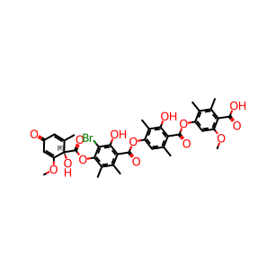 COC1=CC(=O)C=C(C)[C@]1(O)C(=O)Oc1c(C)c(C)c(C(=O)Oc2cc(C)c(C(=O)Oc3cc(OC)c(C(=O)O)c(C)c3C)c(O)c2C)c(O)c1Br